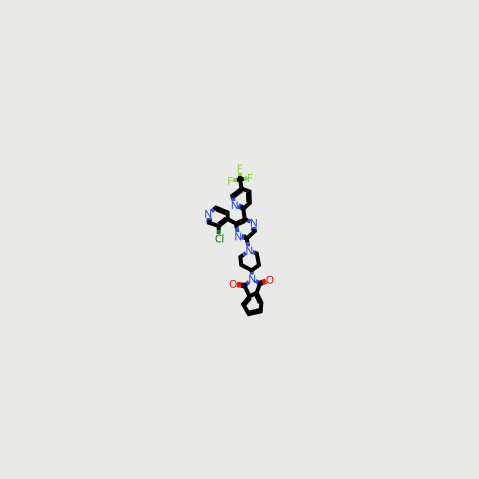 O=C1c2ccccc2C(=O)N1C1CCN(c2cnc(-c3ccc(C(F)(F)F)cn3)c(-c3ccncc3Cl)n2)CC1